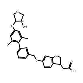 Cc1cc(OC2COC[C@H]2O)cc(C)c1-c1cccc(COc2ccc3c(c2)OCC3CC(=O)O)c1